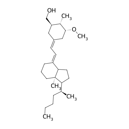 CCCC[C@H](C)C1CCC2/C(=C/C=C3/C[C@@H](CO)[C@H](C)[C@H](OC)C3)CCC[C@@]21C